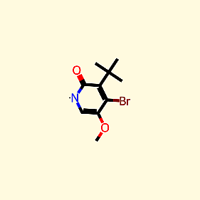 COC1=C[N]C(=O)C(C(C)(C)C)=C1Br